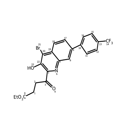 CCOC(=O)CCC(=O)c1nc2cc(-c3ccc(C(F)(F)F)cc3)ccc2c(Br)c1O